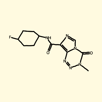 Cn1nnc2c(C(=O)NC3CCC(F)CC3)ncn2c1=O